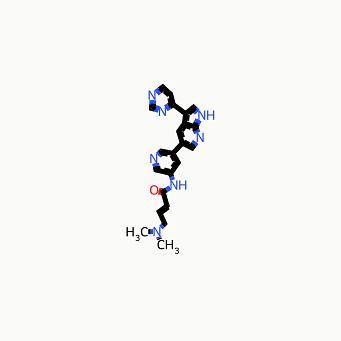 CN(C)CC=CC(=O)Nc1cncc(-c2cnc3[nH]cc(-c4ccncn4)c3c2)c1